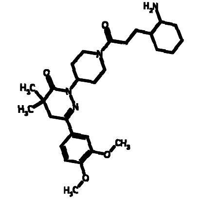 COc1ccc(C2=NN(C3CCN(C(=O)CCC4CCCCC4N)CC3)C(=O)C(C)(C)C2)cc1OC